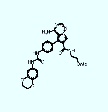 COCCNC(=O)c1cn2ncnc(N)c2c1-c1ccc(NC(=O)Nc2ccc3c(c2)OCCO3)cc1